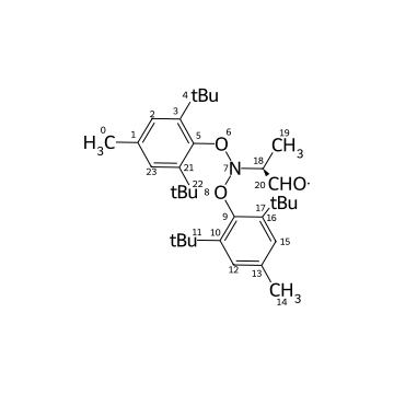 Cc1cc(C(C)(C)C)c(ON(Oc2c(C(C)(C)C)cc(C)cc2C(C)(C)C)[C@@H](C)[C]=O)c(C(C)(C)C)c1